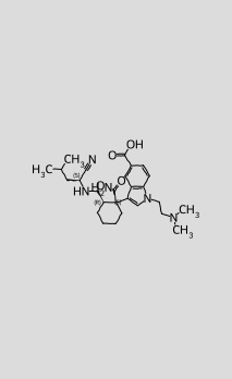 CC(C)C[C@@H](C#N)NC(=O)[C@@H]1CCCC[C@@]1(C(N)=O)c1cn(CCN(C)C)c2ccc(C(=O)O)cc12